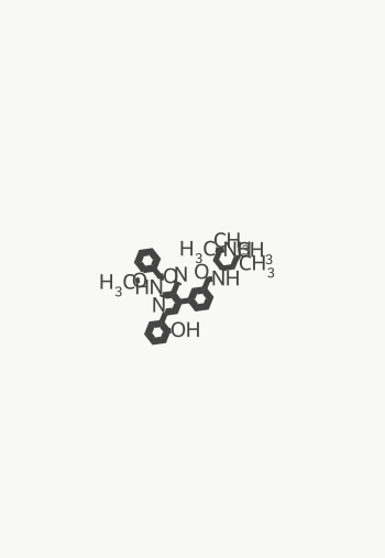 COc1ccccc1C(=O)Nc1nc(-c2ccccc2O)cc(-c2cccc(C(=O)NC3CC(C)(C)NC(C)(C)C3)c2)c1C#N